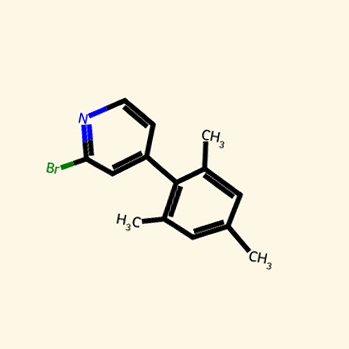 Cc1cc(C)c(-c2ccnc(Br)c2)c(C)c1